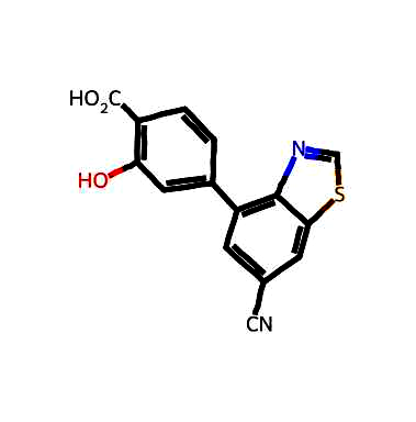 N#Cc1cc(-c2ccc(C(=O)O)c(O)c2)c2ncsc2c1